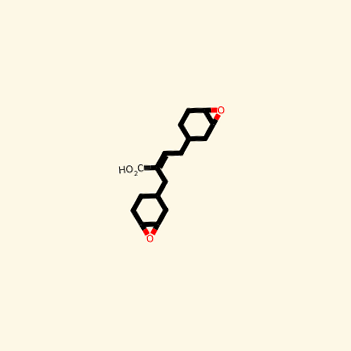 O=C(O)C(=CCC1CCC2OC2C1)CC1CCC2OC2C1